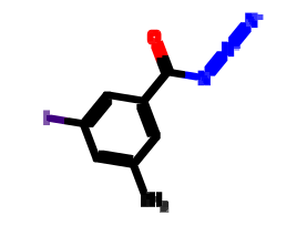 Bc1cc(I)cc(C(=O)N=[N+]=[N-])c1